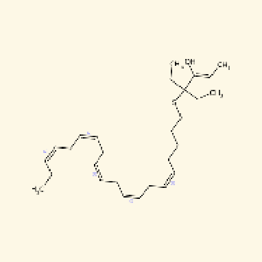 CC=C(O)C(CC)(CC)SCCCC/C=C\C/C=C\C/C=C\C/C=C\C/C=C\CC